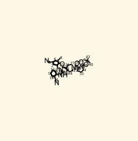 Cc1cc(C#N)cc(C)c1Oc1nc(Nc2ccccc2C#N)nc2c1CCN(C(=O)[C@H]1CCCN1C(=O)OC(C)(C)C)CC2